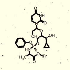 CC(C)OC(=O)C(C)NP(=S)(OCC(OC(CO)n1ccc(=O)[nH]c1=O)[C@@H](O)C1CC1)Oc1ccccc1